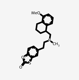 COc1cccc2c1CCCC2CN(C)CCc1ccc2oc(=O)sc2c1